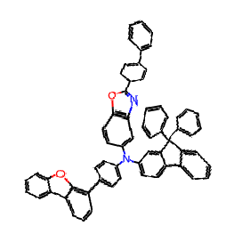 C1=CC(c2nc3cc(N(c4ccc(-c5cccc6c5oc5ccccc56)cc4)c4ccc5c(c4)C(c4ccccc4)(c4ccccc4)c4ccccc4-5)ccc3o2)CC=C1c1ccccc1